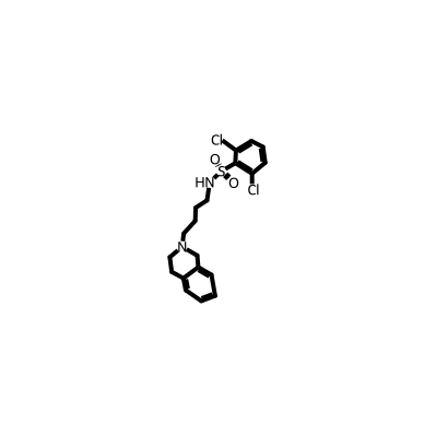 O=S(=O)(NCCCCN1CCc2ccccc2C1)c1c(Cl)cccc1Cl